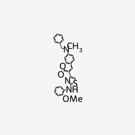 COc1ccccc1Nc1nc(-c2cc3ccc(N(C)Cc4ccccc4)cc3oc2=O)cs1